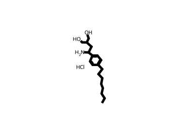 CCCCCCCCc1ccc(C(N)CC(CO)CO)cc1.Cl